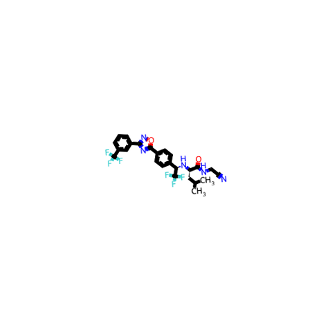 CC(C)C[C@H](N[C@@H](c1ccc(-c2nc(-c3cccc(C(F)(F)F)c3)no2)cc1)C(F)(F)F)C(=O)NCC#N